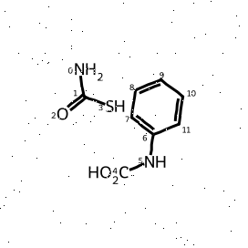 NC(=O)S.O=C(O)Nc1ccccc1